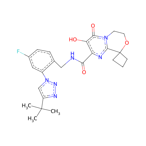 CC(C)(C)c1cn(-c2cc(F)ccc2CNC(=O)c2nc3n(c(=O)c2O)CCOC32CCC2)nn1